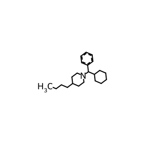 CCCCC1CCN(C(c2ccccc2)C2CCCCC2)CC1